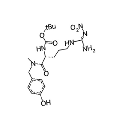 CN(Cc1ccc(O)cc1)C(=O)[C@@H](CCCN/C(N)=N\[N+](=O)[O-])NC(=O)OC(C)(C)C